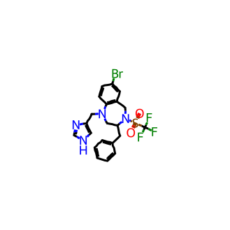 O=S(=O)(N1Cc2cc(Br)ccc2N(Cc2c[nH]cn2)CC1Cc1ccccc1)C(F)(F)F